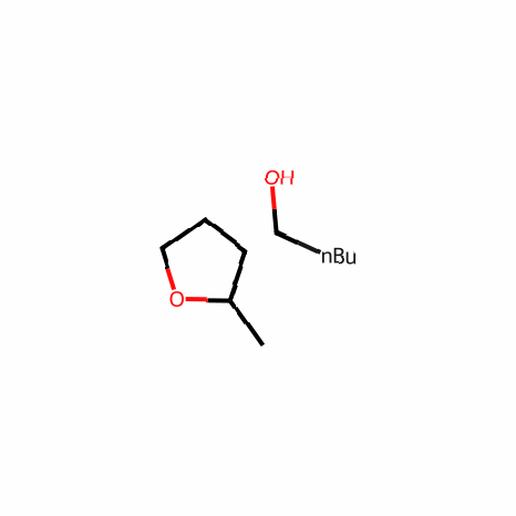 CC1CCCO1.CCCCCO